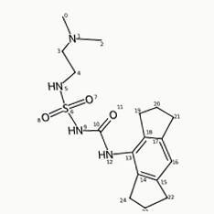 CN(C)CCNS(=O)(=O)NC(=O)Nc1c2c(cc3c1CCC3)CCC2